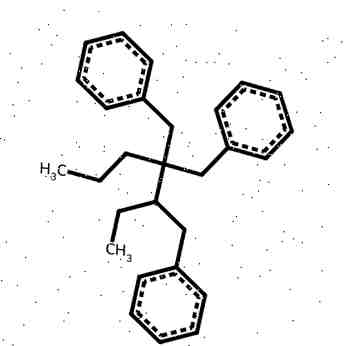 CCCC(Cc1ccccc1)(Cc1ccccc1)[C](CC)Cc1ccccc1